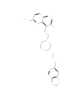 COc1ccc2ncc(F)c(CCN3CCO[C@@H](CNCc4cc5c(cn4)OCS5)C3)c2n1